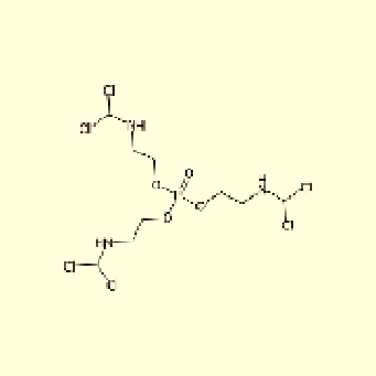 O=P(OCCNC(Cl)Cl)(OCCNC(Cl)Cl)OCCNC(Cl)Cl